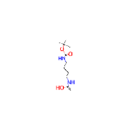 C=C(O)NCCCCNC(=O)OC(C)(C)C